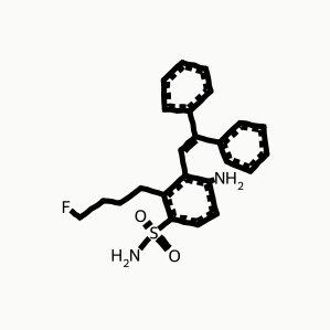 Nc1ccc(S(N)(=O)=O)c(CCCCF)c1C=C(c1ccccc1)c1ccccc1